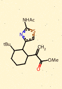 C=C(C(=O)OC)C1CCCC(C(C)(C)C)C1c1csc(NC(C)=O)n1